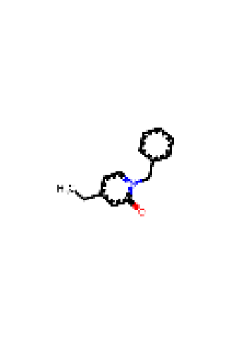 CCc1ccn(Cc2ccccc2)c(=O)c1